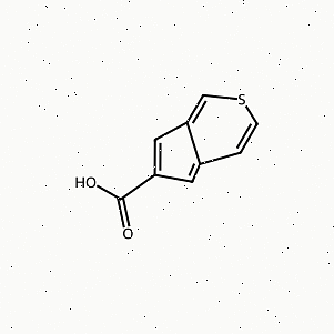 O=C(O)c1cc2ccscc-2c1